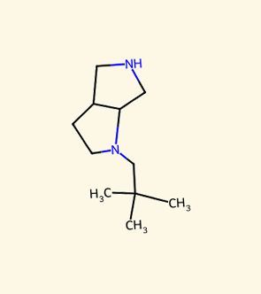 CC(C)(C)CN1CCC2CNCC21